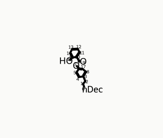 CCCCCCCCCCCCc1ccc(OC(=O)c2ccccc2O)cc1